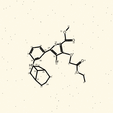 CCOC(=O)COc1c(C(=O)OC)sc(-c2cccc(NC3C4CCCC3CCC4)c2)c1Br